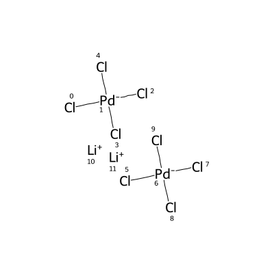 [Cl][Pd-]([Cl])([Cl])[Cl].[Cl][Pd-]([Cl])([Cl])[Cl].[Li+].[Li+]